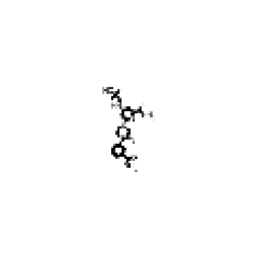 CC(C)(O)CNc1cc(C(N)=O)nc(N2CCN(c3cccc(C(N)=O)c3)C(=O)C2)n1